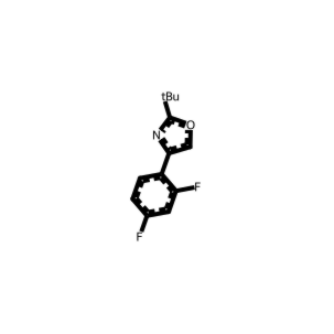 CC(C)(C)c1nc(-c2ccc(F)cc2F)co1